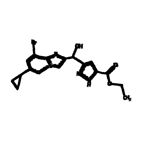 CCOC(=O)c1cc(C(O)c2cn3cc(C4CC4)cc(Br)c3n2)n[nH]1